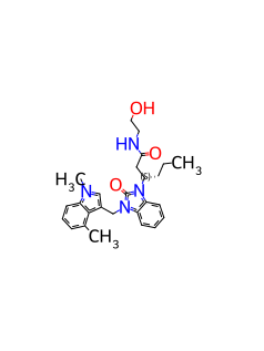 CCC[C@@H](CC(=O)NCCO)n1c(=O)n(Cc2cn(C)c3cccc(C)c23)c2ccccc21